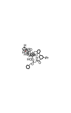 COc1c(CN2O[C@@H](CO)[C@H]([C@H](C)O)[C@H]2C(=O)N[C@H]2C[C@H]3C[C@@H]([C@@H]2C)C3(C)C)cccc1-c1cc(C(=O)NCC(=O)OCc2ccccc2)cc(C(C)C)c1